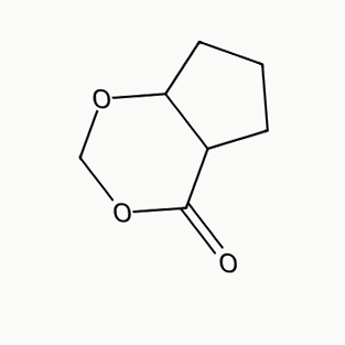 O=C1OCOC2CCCC12